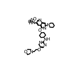 CS(=O)(=O)Nc1cnc2cc(N3CCCCC3)nc(O[C@H]3CC[C@@H](Nc4ncc(OCCN5CCOCC5)cn4)CC3)c2c1